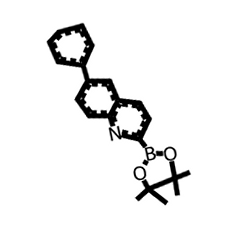 CC1(C)OB(c2ccc3cc(-c4ccccc4)ccc3n2)OC1(C)C